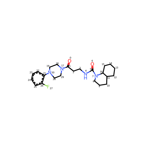 O=C(CCNC(=O)N1CCCC2CCCCC21)N1CCN(c2ccccc2F)CC1